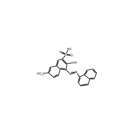 O=NS(=O)(=O)c1cc2cc(S(=O)(=O)O)ccc2c(/N=N/c2cccc3ccccc23)c1O